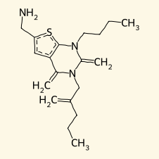 C=C(CCC)CN1C(=C)c2cc(CN)sc2N(CCCC)C1=C